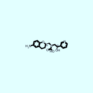 Nc1ccc2c(c1)CC[C@H](CN(C[C@H](O)c1cccnc1)C(=O)O)O2